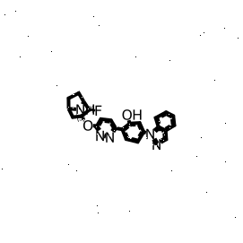 Oc1cc(-n2ncc3ccccc32)ccc1-c1ccc(O[C@H]2CC3CCC(N3)[C@H]2F)nn1